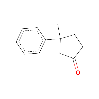 CC1(c2ccccc2)CCC(=O)C1